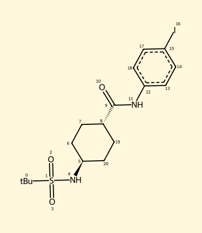 CC(C)(C)S(=O)(=O)N[C@H]1CC[C@H](C(=O)Nc2ccc(I)cc2)CC1